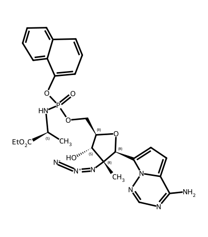 CCOC(=O)[C@H](C)NP(=O)(OC[C@H]1O[C@@H](c2ccc3c(N)ncnn23)[C@](C)(N=[N+]=[N-])[C@@H]1O)Oc1cccc2ccccc12